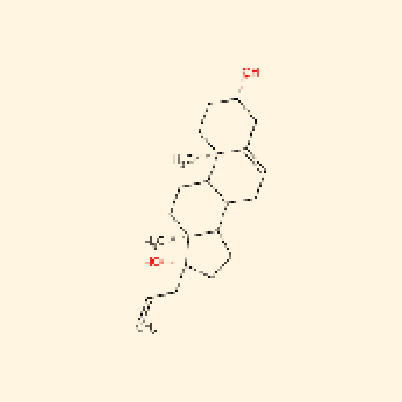 C=CC[C@]1(O)CCC2C3CC=C4C[C@@H](O)CC[C@]4(C)C3CC[C@@]21C